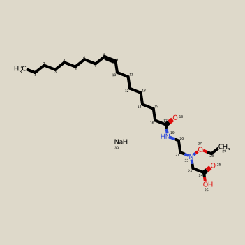 CCCCCCCC/C=C\CCCCCCCC(=O)NCCN(CC(=O)O)OCC.[NaH]